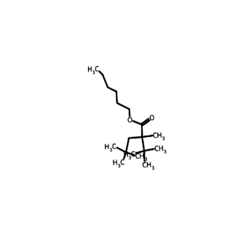 CCCCCCOC(=O)C(C)(CC(C)(C)C)C(C)(C)C